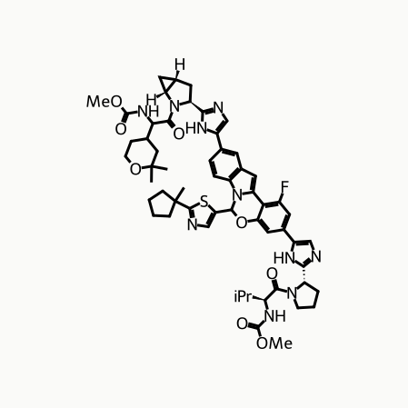 COC(=O)NC(C(=O)N1[C@@H]2C[C@@H]2C[C@H]1c1ncc(-c2ccc3c(c2)cc2n3C(c3cnc(C4(C)CCCC4)s3)Oc3cc(-c4cnc([C@@H]5CCCN5C(=O)[C@@H](NC(=O)OC)C(C)C)[nH]4)cc(F)c3-2)[nH]1)C1CCOC(C)(C)C1